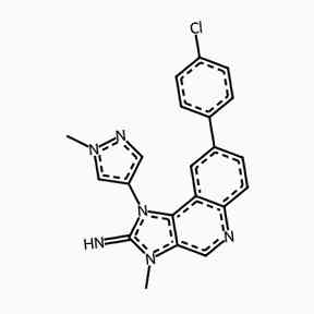 Cn1cc(-n2c(=N)n(C)c3cnc4ccc(-c5ccc(Cl)cc5)cc4c32)cn1